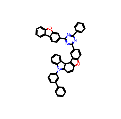 C1=CC2C(c3ccccc3N2c2cccc(-c3ccccc3)c2)c2c1oc1ccc(-c3nc(-c4ccccc4)nc(-c4ccc5c(c4)oc4ccccc45)n3)cc21